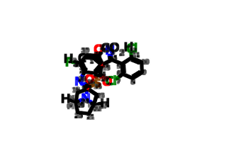 Cc1onc(-c2c(Cl)cccc2Cl)c1C(=O)O[C@@H]1C[C@H]2CC[C@@H](C1)N2c1nc2c(F)cc(C(=O)O)cc2s1